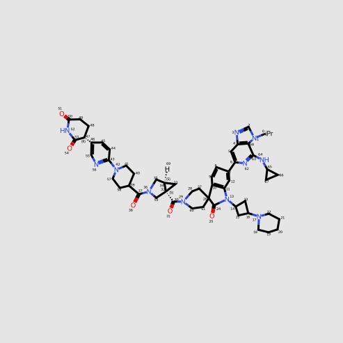 CC(C)n1cnc2cc(-c3ccc4c(c3)N(C3CC(N5CCCCC5)C3)C(=O)C43CCN(C(=O)[C@@]45C[C@@H]4CN(C(=O)C4CCN(c6ccc([C@H]7CCC(=O)NC7=O)cn6)CC4)C5)CC3)nc(NC3CC3)c21